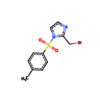 Cc1ccc(S(=O)(=O)n2ccnc2CBr)cc1